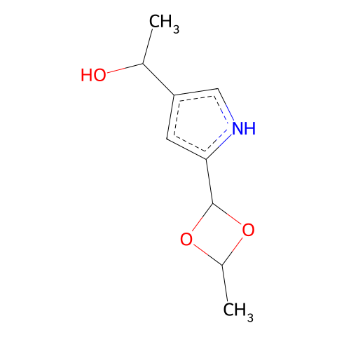 CC1OC(c2cc(C(C)O)c[nH]2)O1